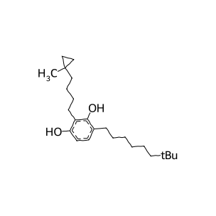 CC(C)(C)CCCCCCc1ccc(O)c(CCCCC2(C)CC2)c1O